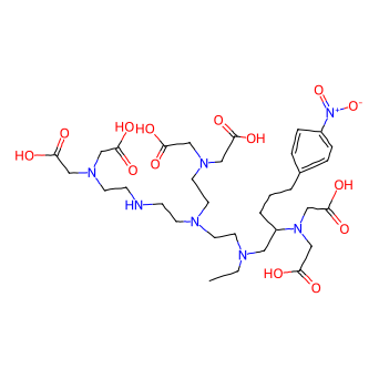 CCN(CCN(CCNCCN(CC(=O)O)CC(=O)O)CCN(CC(=O)O)CC(=O)O)CC(CCCc1ccc([N+](=O)[O-])cc1)N(CC(=O)O)CC(=O)O